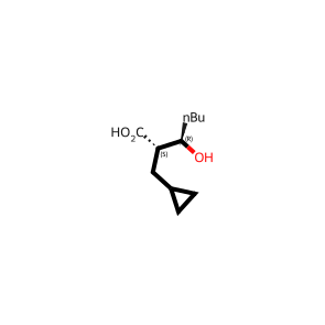 CCCC[C@@H](O)[C@H](CC1CC1)C(=O)O